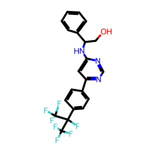 OCC(Nc1cc(-c2ccc(C(F)(C(F)(F)F)C(F)(F)F)cc2)ncn1)c1ccccc1